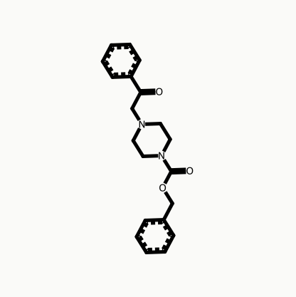 O=C(CN1CCN(C(=O)OCc2ccccc2)CC1)c1ccccc1